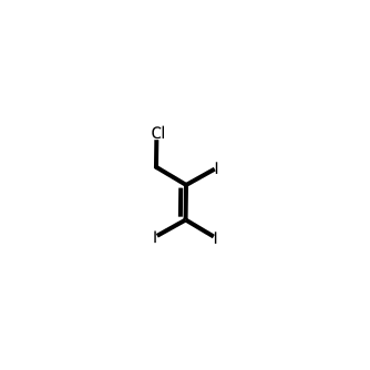 ClCC(I)=C(I)I